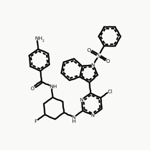 Nc1ccc(C(=O)NC2CC(F)CC(Nc3ncc(Cl)c(-c4cn(S(=O)(=O)c5ccccc5)c5ccccc45)n3)C2)cc1